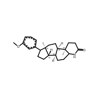 COc1cccc(C2CC[C@H]3[C@@H]4CCC5NC(=O)CC[C@]5(C)[C@@H]4CC[C@]23C)c1